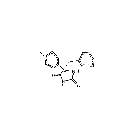 Cc1ccc([C@@]2(Cc3ccccc3)NC(=O)N(C)C2=O)cc1